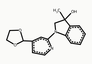 CC1(O)CN(c2cc(C3OCCO3)ccn2)c2ccccc21